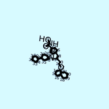 O=C(NO)c1ccc(C=C(CCOc2cccc3ccccc23)CNc2ccc(-c3ccccc3)cc2)cc1